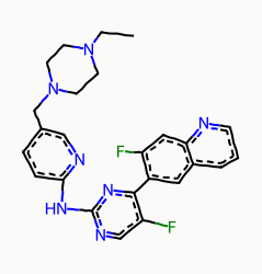 CCN1CCN(Cc2ccc(Nc3ncc(F)c(-c4cc5cccnc5cc4F)n3)nc2)CC1